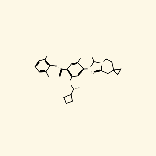 C[C@H](Oc1cc(N2N=C3CC4(CCN3C2O)CC4)c(F)cc1C(=O)Nc1c(F)cccc1Cl)C1CCC1